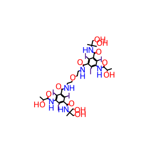 CC(O)C(=O)Nc1c(I)c(C(=O)NCCOCCNC(=O)c2c(I)c(NC(=O)C(C)O)c(I)c(C(=O)NC(C)(CO)CO)c2I)c(I)c(C(=O)NC(C)(CO)CO)c1I